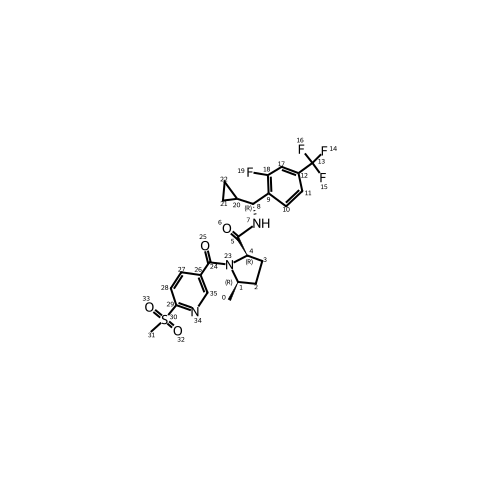 C[C@@H]1CC[C@H](C(=O)N[C@@H](c2ccc(C(F)(F)F)cc2F)C2CC2)N1C(=O)c1ccc(S(C)(=O)=O)nc1